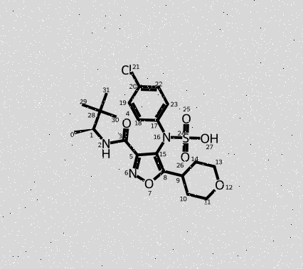 C[C@H](NC(=O)c1noc(C2CCOCC2)c1N(c1ccc(Cl)cc1)S(=O)(=O)O)C(C)(C)C